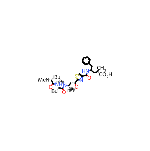 CCCO[C@H](C[C@H](C(C)C)N(CCC)C(=O)[C@@H](NC(=O)[C@H](NC)[C@@H](C)CC)[C@@H](C)CC)c1nc(C(=O)NC(Cc2ccccc2)C[C@H](C)C(=O)O)cs1